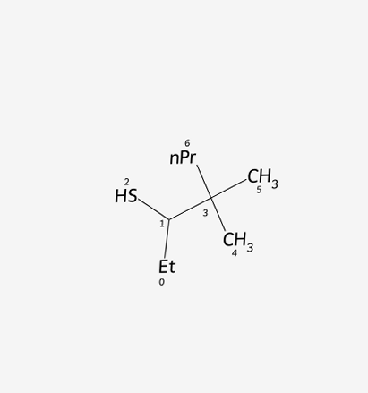 [CH2]CC(S)C(C)(C)CCC